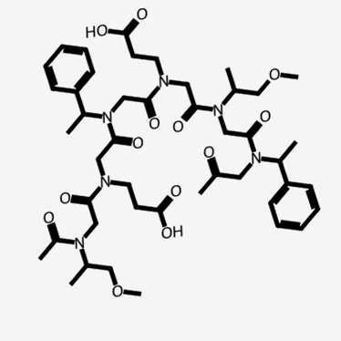 COCC(C)N(CC(=O)N(CCC(=O)O)CC(=O)N(CC(=O)N(CCC(=O)O)CC(=O)N(CC(=O)N(CC(C)=O)C(C)c1ccccc1)C(C)COC)C(C)c1ccccc1)C(C)=O